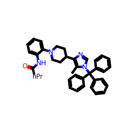 CCCC(=O)Nc1ccccc1N1CCC(c2ncn(C(c3ccccc3)(c3ccccc3)c3ccccc3)c2C)CC1